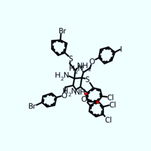 NC(COc1ccc(Br)cc1)C(N)(C(N)CSc1cccc(Br)c1)C(Sc1cccc(Cl)c1)(C(N)COc1ccc(I)cc1)C(N)COc1ccc(Cl)c(Cl)c1